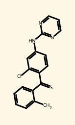 Cc1ccccc1C(=S)c1ccc(Nc2ncccn2)cc1Cl